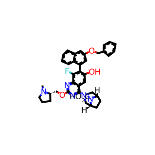 CN1CCC[C@H]1COc1nc(N2C[C@H]3CC[C@@H](C2)N3C(=O)O)c2cc(O)c(-c3cc(OCc4ccccc4)cc4ccccc34)c(F)c2n1